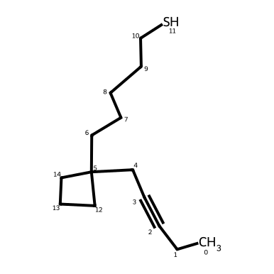 CCC#CCC1(CCCCCS)CCC1